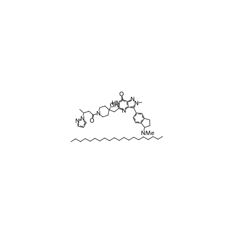 CCCCCCCCCCCCCCCCCCCC.CNC1CCc2cc(-c3c4nc(CC5(O)CCN(C(=O)CC(C)n6cccn6)CC5)[nH]c(=O)c4nn3C)ccc21